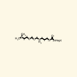 CCCCCCCC(=O)SCCC[SiH2]COCOCCN(C)C